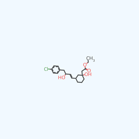 CCOC(=O)CC1(O)CCCC(C=CC(O)Cc2ccc(Cl)cc2)C1